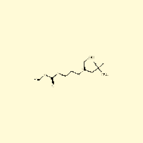 CC(C)(C)OC(=O)NCCC[C@@H](CO)CC(C)(C)[N+](=O)[O-]